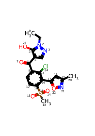 CCn1ncc(C(=O)c2ccc(S(C)(=O)=O)c(-c3cc(C)no3)c2Cl)c1O